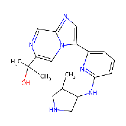 CC1CNCC1Nc1cccc(-c2cnc3cnc(C(C)(C)O)cn23)n1